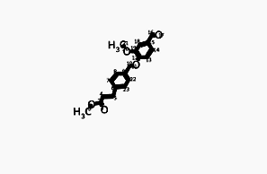 COC(=O)/C=C/c1ccc(COc2ccc(C=O)cc2OC)cc1